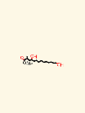 COC(=O)C(C)=CC(O)CCCCCCCCCCO